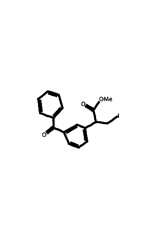 COC(=O)C(CI)c1cccc(C(=O)c2ccccc2)c1